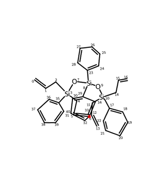 C=CC[Si](CC=C)(O[Si](O[Si](CC=C)(CC=C)c1ccccc1)(c1ccccc1)c1ccccc1)c1ccccc1